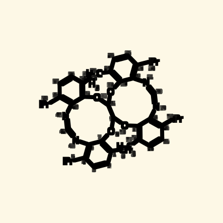 Cc1ccc(C(C)C)c2c1OC1Oc3c(C)ccc(C(C)C)c3N=C=Nc3c(C(C)C)ccc(C)c3OC1Oc1c(C)ccc(C(C)C)c1N=C=N2